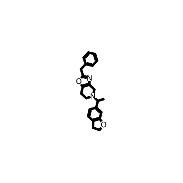 CC(c1ccc2c(c1)OCC2)N1CCc2oc(Cc3ccccc3)nc2C1